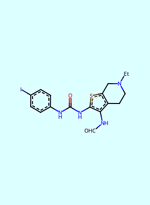 CCN1CCc2c(sc(NC(=O)Nc3ccc(I)cc3)c2NC=O)C1